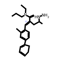 C=C(/C(=C/c1ccc(C2=CC=CCC2)cc1C)CC(C)NN)N(CC)CCC